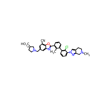 Cc1c(-c2nc3cc(CN4CC[C@@H](C(=O)O)C4)cc(C#N)c3o2)cccc1-c1cccc(-n2cc3c(n2)CN(C)CC3)c1Cl